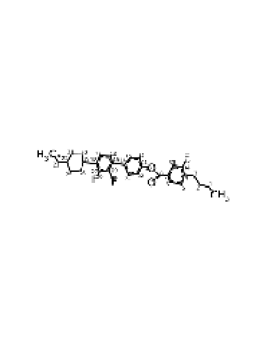 CCCCc1ccc(C(=O)Oc2ccc(-c3ccc(C4CCC(CC)CC4)c(F)c3F)cc2)cc1F